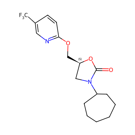 O=C1O[C@H](COc2ccc(C(F)(F)F)cn2)CN1C1CCCCCC1